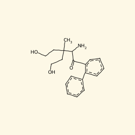 CC(CCO)(CCO)C(N)C(=O)c1ccccc1-c1ccccc1